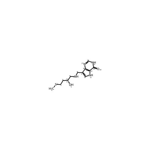 CSCC[C@H](O)CNCc1c[nH]c2c(=O)[nH]cnc12